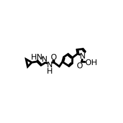 O=C(Cc1ccc(-c2cccn2C(=O)O)cc1)Nc1cc(C2CC2)[nH]n1